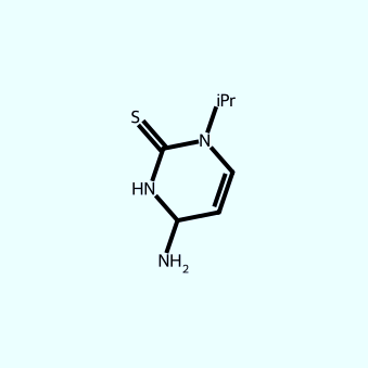 CC(C)N1C=CC(N)NC1=S